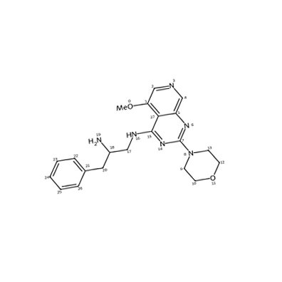 COc1cncc2nc(N3CCOCC3)nc(NCC(N)Cc3ccccc3)c12